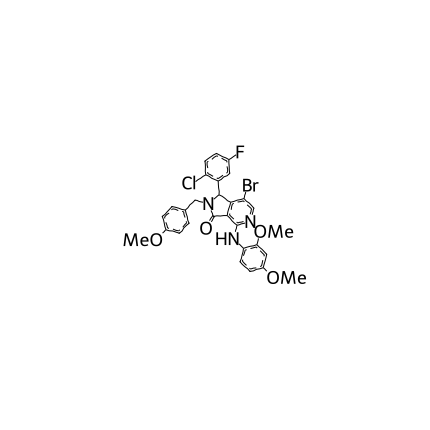 COc1ccc(CN2C(=O)c3c(Nc4ccc(OC)cc4OC)ncc(Br)c3C2c2cc(F)ccc2Cl)cc1